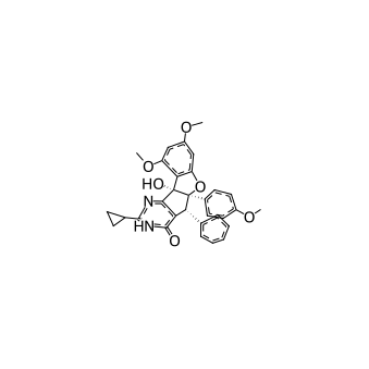 COc1ccc([C@@]23Oc4cc(OC)cc(OC)c4[C@]2(O)c2nc(C4CC4)[nH]c(=O)c2[C@H]3c2ccccc2)cc1